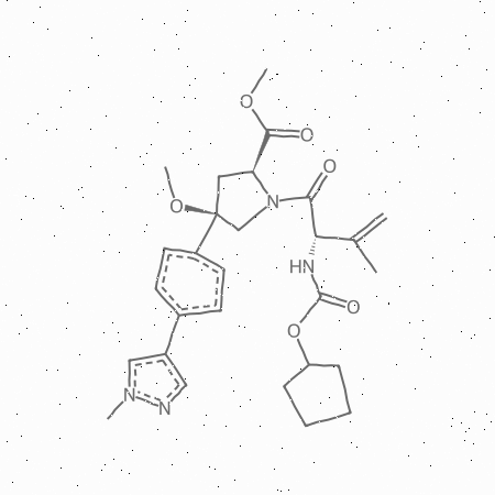 C=C(C)[C@H](NC(=O)OC1CCCC1)C(=O)N1C[C@](OC)(c2ccc(-c3cnn(C)c3)cc2)C[C@H]1C(=O)OC